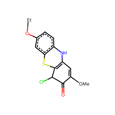 CCOc1ccc2c(c1)SC1=C(C=C(OC)C(=O)C1Cl)N2